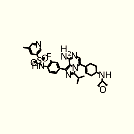 Cc1cncc(S(=O)(=O)Nc2ccc(-c3nc(C(C)C)n4c(C5=CCC(NC6COC6)CC5)cnc(N)c34)cc2F)c1